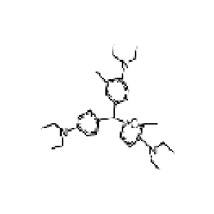 CCN(CC)c1ccc(C(c2ccc(N(CC)CC)c(C)c2)c2ccc(N(CC)CC)c(C)c2)cc1